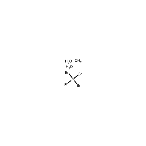 O.O.O.[Br][Zr]([Br])([Br])[Br]